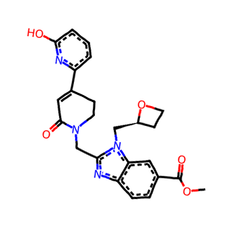 COC(=O)c1ccc2nc(CN3CCC(c4cccc(O)n4)=CC3=O)n(C[C@@H]3CCO3)c2c1